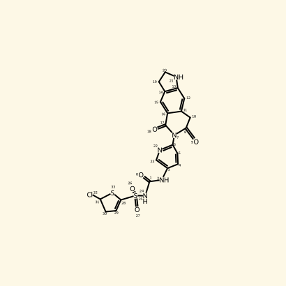 O=C(Nc1ccc(N2C(=O)Cc3cc4c(cc3C2=O)CCN4)nc1)NS(=O)(=O)C1=CCC(Cl)S1